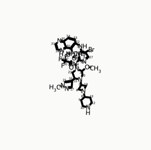 COC1CN(C2CN(C3CCNCC3)C2)C(c2cnn(C)c2)CN1Nc1ncc(Br)c(Nc2ccc3nccnc3c2[PH](C)(C)OC(=O)C(F)(F)F)n1